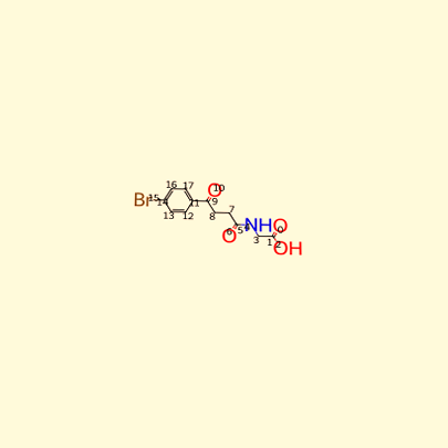 O=C(O)CNC(=O)CCC(=O)c1ccc(Br)cc1